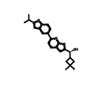 CC(C)n1cc2cc(-c3ccc4cc([C@H](O)C5CC(F)(F)C5)sc4n3)ccc2n1